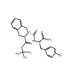 CC(=O)[C@@H](Cc1ccc(Cl)cc1)NC(=O)[C@H]1Cc2ccccc2CN1C(=O)OC(C)(C)C